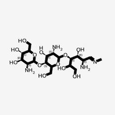 CN=C[C@@H](N)[C@@H](O)[C@H](OC1OC(CO)[C@@H](OC2OC(CO)[C@@H](O)[C@H](O)[C@@H]2N)[C@H](O)[C@@H]1N)C(O)CO